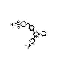 CS(=O)(=O)N1CCN(Cc2ccc(-c3cc(-c4cnc(N)nc4)nc(N4CCOCC4)n3)cc2)CC1